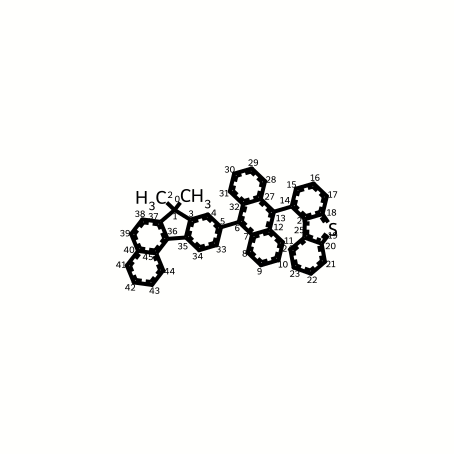 CC1(C)c2cc(-c3c4ccccc4c(-c4cccc5sc6ccccc6c45)c4ccccc34)ccc2-c2c1ccc1ccccc21